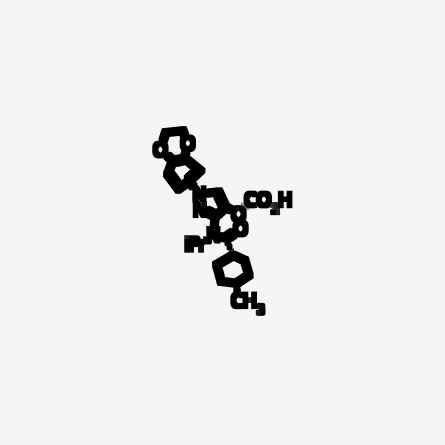 CC(C)N(c1nn(-c2ccc3c(c2)OCCO3)cc1OC(=O)O)C(=O)[C@H]1CC[C@H](C)CC1